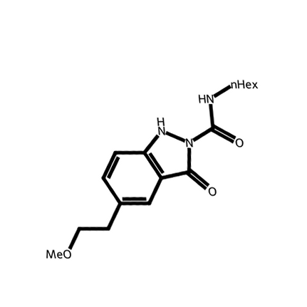 CCCCCCNC(=O)n1[nH]c2ccc(CCOC)cc2c1=O